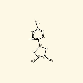 Cc1ccc(N2C[C@@H](C)[C@@H](C)C2)nc1